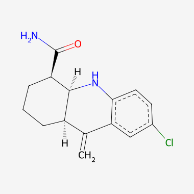 C=C1c2cc(Cl)ccc2N[C@H]2[C@@H]1CCC[C@H]2C(N)=O